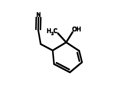 CC1(O)C=CC=CC1CC#N